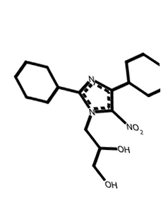 O=[N+]([O-])c1c(C2CCCCC2)nc(C2CCCCC2)n1CC(O)CO